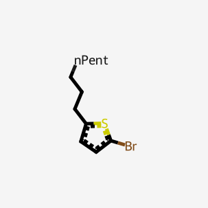 CCCCCCCCc1ccc(Br)s1